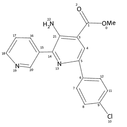 COC(=O)c1cc(-c2ccc(Cl)cc2)nc(-c2cccnc2)c1N